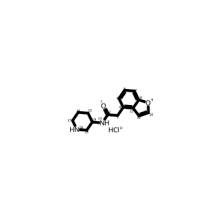 Cl.O=C(Cc1cccc2occc12)NC1CCCNC1